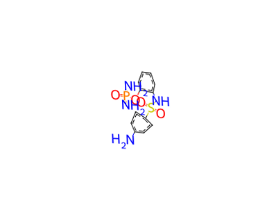 Nc1ccc(S(=O)(=O)Nc2ccccc2OP(N)(N)=O)cc1